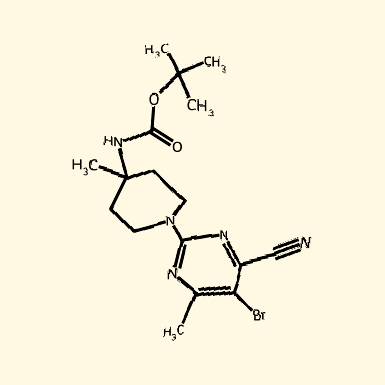 Cc1nc(N2CCC(C)(NC(=O)OC(C)(C)C)CC2)nc(C#N)c1Br